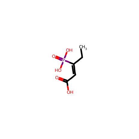 CCC(=CC(=O)O)P(=O)(O)O